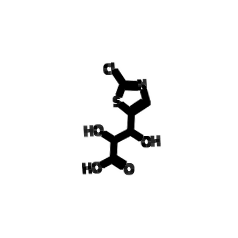 O=C(O)C(O)C(O)c1cnc(Cl)s1